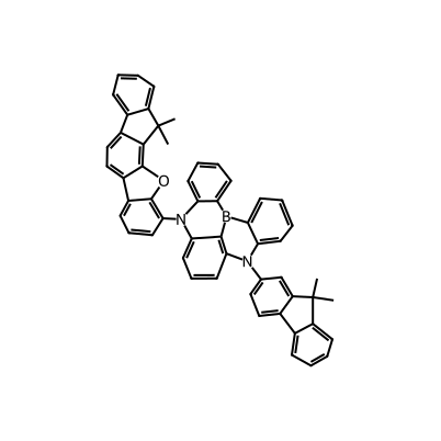 CC1(C)c2ccccc2-c2ccc(N3c4ccccc4B4c5ccccc5N(c5cccc6c5oc5c7c(ccc56)-c5ccccc5C7(C)C)c5cccc3c54)cc21